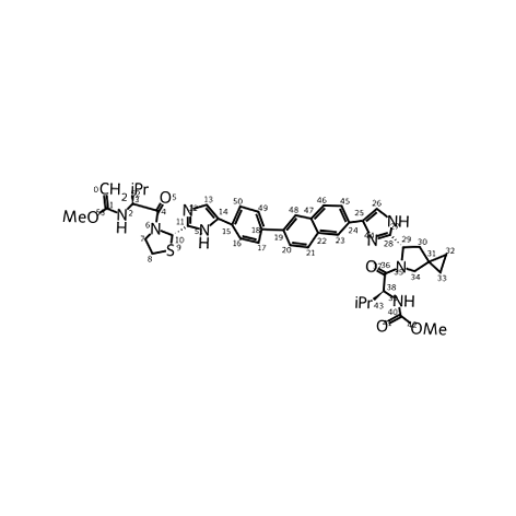 C=C(N[C@H](C(=O)N1CCS[C@H]1c1ncc(-c2ccc(-c3ccc4cc(-c5c[nH]c([C@@H]6CC7(CC7)CN6C(=O)[C@@H](NC(=O)OC)C(C)C)n5)ccc4c3)cc2)[nH]1)C(C)C)OC